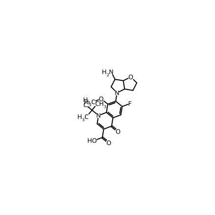 COc1c(N2CC(N)C3OCCC32)c(F)cc2c(=O)c(C(=O)O)cn(C(C)(C)C)c12